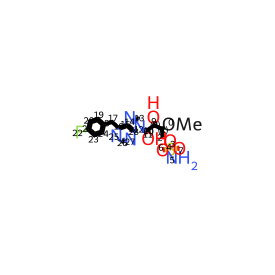 CO[C@H](COS(N)(=O)=O)[C@@H](O)[C@@H](O)n1cnc2c(Cc3ccc(F)cc3)ncnc21